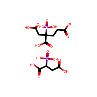 O=C(O)CC(C(=O)O)P(=O)(O)O.O=C(O)CCC(CC(=O)O)(C(=O)O)P(=O)(O)O